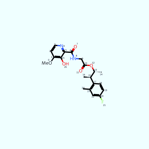 COc1ccnc(C(=O)NCC(=O)O[C@H](C)[C@H](C)c2ccc(F)cc2C)c1O